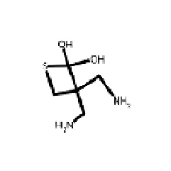 NCC1(CN)CSC1(O)O